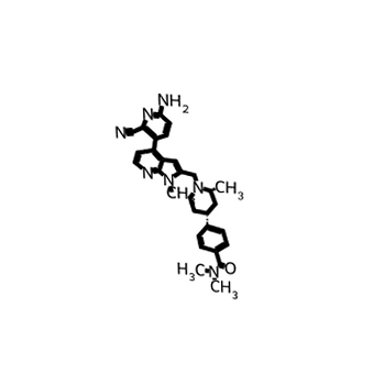 C[C@H]1C[C@H](c2ccc(C(=O)N(C)C)cc2)CCN1Cc1cc2c(-c3ccc(N)nc3C#N)ccnc2n1C